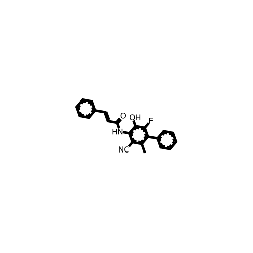 Cc1c(C#N)c(NC(=O)C=Cc2ccccc2)c(O)c(F)c1-c1ccccc1